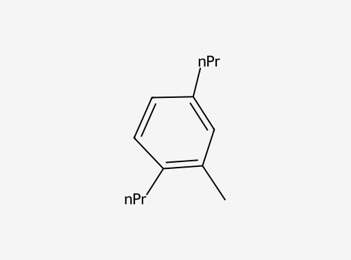 [CH2]CCc1ccc(CCC)cc1C